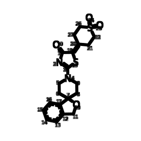 O=C1N=C(N2CCC3(CC2)OCc2ccccc23)SC1=C1CCS(=O)(=O)CC1